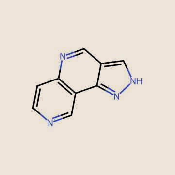 c1cc2ncc3c[nH]nc3c2cn1